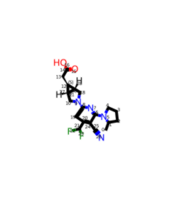 CC1CCCN1c1nc(N2C[C@@H]3[C@@H](CC(=O)O)[C@@H]3C2)cc(C(F)F)c1C#N